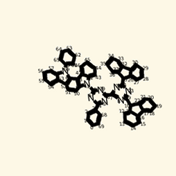 c1ccc(-c2nc(-c3nc(C4c5ccccc5-c5ccccc54)nc(C4c5ccccc5-c5ccccc54)n3)nc(-n3c4ccccc4c4c3ccc3c5ccccc5n(-c5ccccc5)c34)n2)cc1